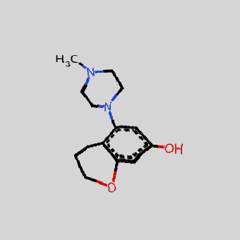 CN1CCN(c2cc(O)cc3c2CCCO3)CC1